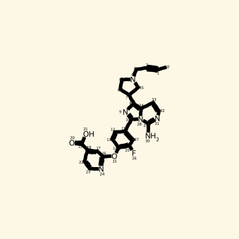 CC#CCN1CCC(c2nc(-c3ccc(Oc4cc(C(=O)O)ccn4)c(F)c3)n3c(N)nccc23)C1